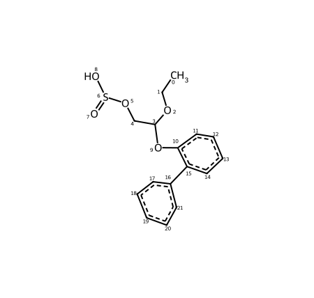 CCOC(COS(=O)O)Oc1ccccc1-c1ccccc1